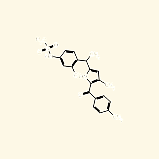 Cc1ccc(C(=O)c2[nH]c(C(C)c3ccc(NS(C)(=O)=O)cc3Cl)cc2C)cc1